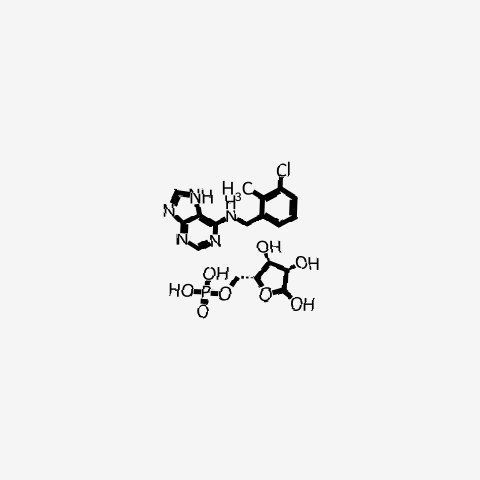 Cc1c(Cl)cccc1CNc1ncnc2nc[nH]c12.O=P(O)(O)OC[C@H]1OC(O)[C@H](O)[C@@H]1O